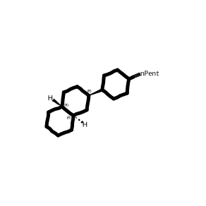 CCCCCC1CCC([C@@H]2CC[C@H]3CCCC[C@@H]3C2)CC1